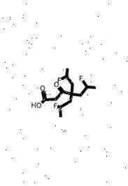 CC(F)CC(CC(C)F)(CC(C)F)C(=O)CC(=O)O